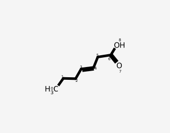 CCCC=CCC(=O)O